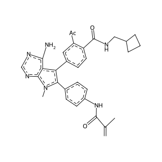 C=C(C)C(=O)Nc1ccc(-c2c(-c3ccc(C(=O)NCC4CCC4)c(C(C)=O)c3)c3c(N)ncnc3n2C)cc1